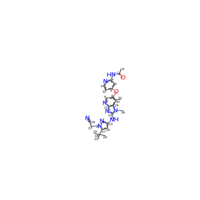 CC(=O)Nc1cc(Oc2cnc3nc(Nc4cc(C(C)(C)C)n(CC#N)n4)n(C)c3c2C)ccn1